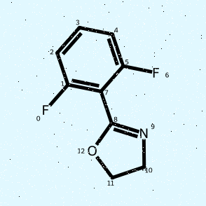 Fc1cccc(F)c1C1=N[C]CO1